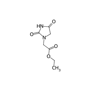 CCOC(=O)CN1CC(=O)NC1=O